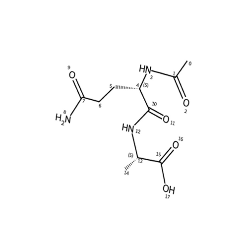 CC(=O)N[C@@H](CCC(N)=O)C(=O)N[C@@H](C)C(=O)O